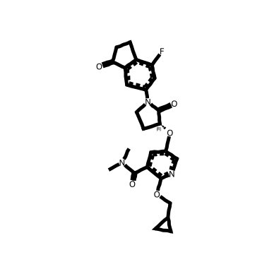 CN(C)C(=O)c1cc(O[C@@H]2CCN(c3cc(F)c4c(c3)C(=O)CC4)C2=O)cnc1OCC1CC1